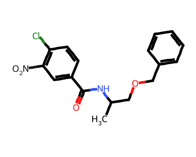 CC(COCc1ccccc1)NC(=O)c1ccc(Cl)c([N+](=O)[O-])c1